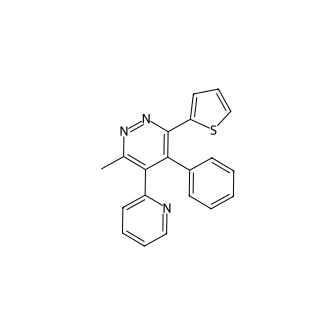 Cc1nnc(-c2cccs2)c(-c2ccccc2)c1-c1ccccn1